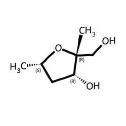 C[C@H]1C[C@@H](O)[C@@](C)(CO)O1